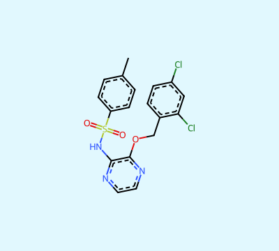 Cc1ccc(S(=O)(=O)Nc2nccnc2OCc2ccc(Cl)cc2Cl)cc1